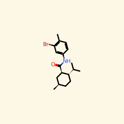 Cc1ccc(NC(=O)[C@@H]2C[C@H](C)CC[C@H]2C(C)C)cc1Br